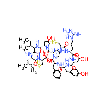 CC[C@H](C)[C@H](NC(=O)[C@@H]1C[C@@H](O)CN1C(=O)[C@@H]1CCCN1C(=O)[C@H](Cc1ccccc1)NC(=O)[C@H](Cc1ccc(O)cc1)NC(=O)[C@H](CC(=O)O)NC(=O)[C@H](CCCNC(=N)N)NC(=O)[C@@H](N)CS)C(=O)N[C@@H](CC(C)C)C(=O)N[C@@H](CS)C(=O)O